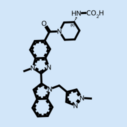 Cn1cc(Cn2c(-c3nc4cc(C(=O)N5CCC[C@@H](NC(=O)O)C5)ccc4n3C)cc3ccccc32)cn1